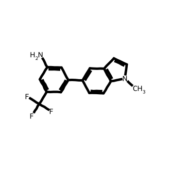 Cn1ccc2cc(-c3cc(N)cc(C(F)(F)F)c3)ccc21